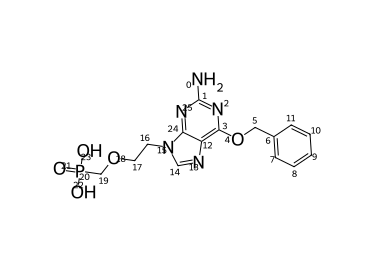 Nc1nc(OCc2ccccc2)c2ncn(CCOCP(=O)(O)O)c2n1